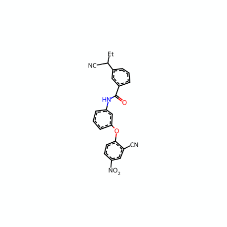 CCC(C#N)c1cccc(C(=O)Nc2cccc(Oc3ccc([N+](=O)[O-])cc3C#N)c2)c1